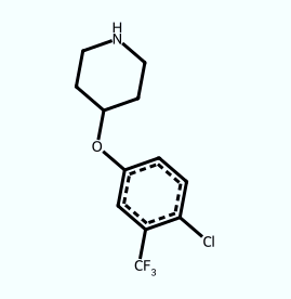 FC(F)(F)c1cc(OC2CCNCC2)ccc1Cl